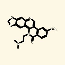 CN(C)CCn1c(=O)c2ccc([N+](=O)[O-])cc2c2cnc3cc4c(cc3c21)OCO4